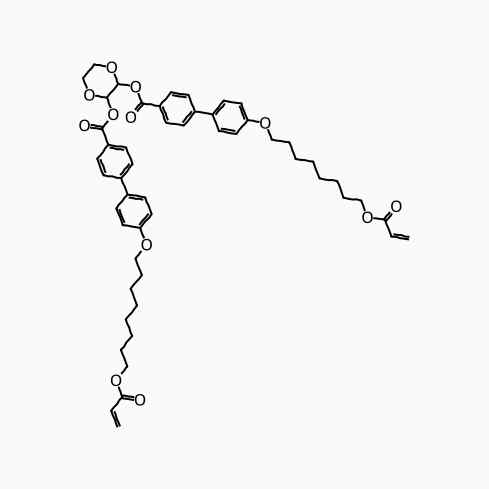 C=CC(=O)OCCCCCCCCOc1ccc(-c2ccc(C(=O)OC3OCCOC3OC(=O)c3ccc(-c4ccc(OCCCCCCCCOC(=O)C=C)cc4)cc3)cc2)cc1